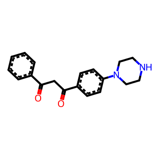 O=C(CC(=O)c1ccc(N2CCNCC2)cc1)c1ccccc1